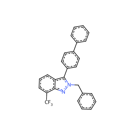 FC(F)(F)c1cccc2c(-c3ccc(-c4ccccc4)cc3)n(Cc3ccccc3)nc12